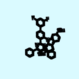 CC(C)(C)c1ccc2c3ccc(C(C)(C)C)cc3n(-c3cc(-c4cc(F)cc(F)c4)ccc3-c3nc(-c4ccccc4)nc(-c4ccccc4)n3)c2c1